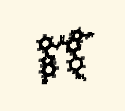 CC(C)c1cnn2c(NCc3ccccc3-n3cc4cc(Br)ccc4n3)nc(N3CCC(N)CC3)nc12